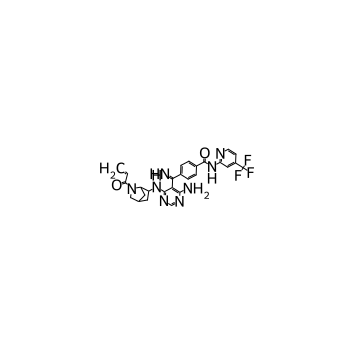 C=CC(=O)N1CC2CC(Nc3ncnc(N)c3C(=N)c3ccc(C(=O)Nc4cc(C(F)(F)F)ccn4)cc3)C1C2